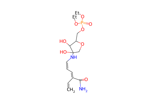 C=C/C(=C\C=C/NC1(O)COC(COP(=O)(OCC)OCC)C1O)C(N)=O